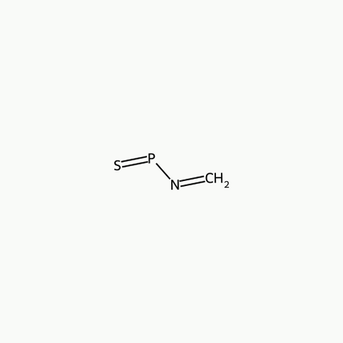 C=NP=S